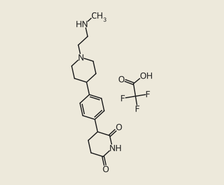 CNCCN1CCC(c2ccc(C3CCC(=O)NC3=O)cc2)CC1.O=C(O)C(F)(F)F